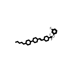 CCCCCC1CCC(C2CCC(/C=C/C3CCC(C(F)(F)Oc4cccc(F)c4)CC3)CC2)CC1